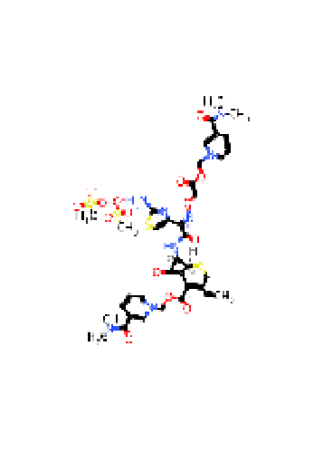 C=CC1=C(C(=O)OC[n+]2cccc(C(=O)N(C)C)c2)C2C(=O)[C@@H](NC(=O)/C(=N/OCC(=O)OC[n+]3cccc(C(=O)N(C)C)c3)c3csc(N)n3)[C@H]2SC1.CS(=O)(=O)[O-].CS(=O)(=O)[O-]